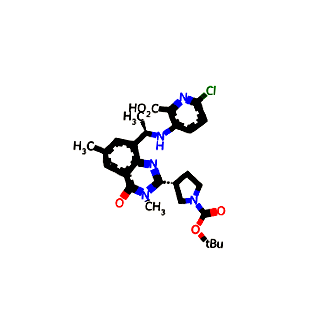 Cc1cc([C@@H](C)Nc2ccc(Cl)nc2C(=O)O)c2nc([C@@H]3CCN(C(=O)OC(C)(C)C)C3)n(C)c(=O)c2c1